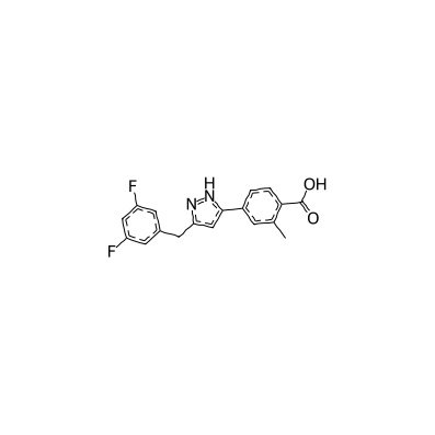 Cc1cc(-c2cc(Cc3cc(F)cc(F)c3)n[nH]2)ccc1C(=O)O